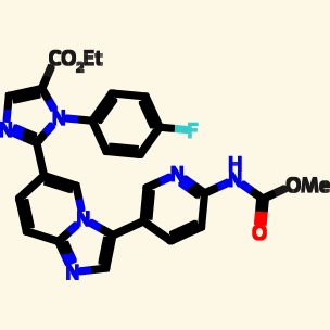 CCOC(=O)c1cnc(-c2ccc3ncc(-c4ccc(NC(=O)OC)nc4)n3c2)n1-c1ccc(F)cc1